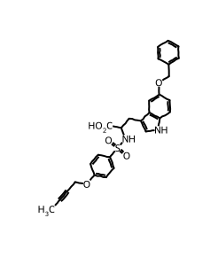 CC#CCOc1ccc(S(=O)(=O)NC(Cc2c[nH]c3ccc(OCc4ccccc4)cc23)C(=O)O)cc1